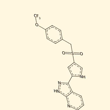 O=S(=O)(Cc1ccc(OC(F)(F)F)cc1)c1c[nH]c(-c2n[nH]c3ncccc23)c1